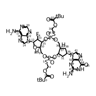 CC(C)(C)C(=O)OCSP1(=O)OC[C@H]2O[C@@H](n3cnc4c(N)ncnc43)C(F)C2OP(=O)(SCOC(=O)C(C)(C)C)OC[C@H]2C[C@@H](n3cnc4c(=O)[nH]c(N)nc43)CC2O1